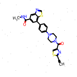 C#Cc1nc(C(=O)N2CCN(c3ccc(-c4cc(C(=O)NC)cc5ncsc45)cc3)CC2)cs1